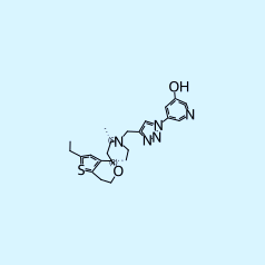 CCc1cc2c(s1)CCO[C@@]21CCN(Cc2cn(-c3cncc(O)c3)nn2)[C@@H](C)C1